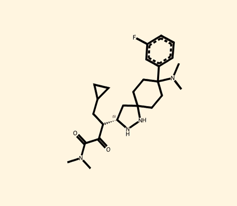 CN(C)C(=O)C(=O)C(CC1CC1)[C@@H]1CC2(CCC(c3cccc(F)c3)(N(C)C)CC2)NN1